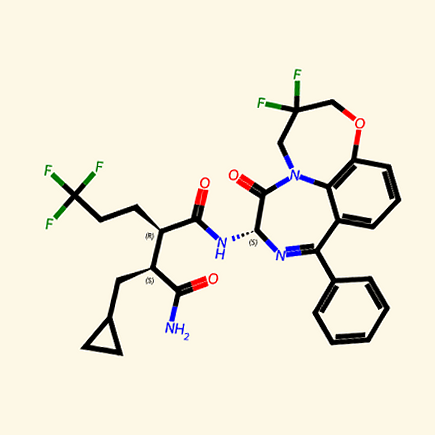 NC(=O)[C@@H](CC1CC1)[C@@H](CCC(F)(F)F)C(=O)N[C@H]1N=C(c2ccccc2)c2cccc3c2N(CC(F)(F)CO3)C1=O